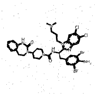 CN(C)CCCn1c([C@@H](Cc2cc(Br)c(N)c(Br)c2)NC(=O)N2CCC(N3CCc4ccccc4NC3=O)CC2)nc2cc(Cl)c(Cl)cc21